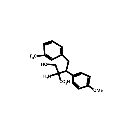 COc1ccc(C(Cc2cccc(C(F)(F)F)c2)C(N)(CO)C(=O)O)cc1